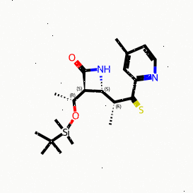 Cc1ccnc(C(=S)[C@H](C)[C@H]2NC(=O)[C@@H]2[C@@H](C)O[Si](C)(C)C(C)(C)C)c1